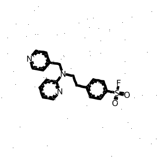 O=S(=O)(F)c1ccc(CCN(Cc2ccncc2)c2[c]cccn2)cc1